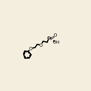 O=[PH](O)OCCOCCOc1ccccc1